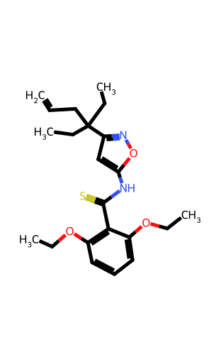 C=CCC(CC)(CC)c1cc(NC(=S)c2c(OCC)cccc2OCC)on1